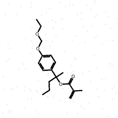 C=C(C)C(=O)OC(C)(CCC)c1ccc(OCOCC)cc1